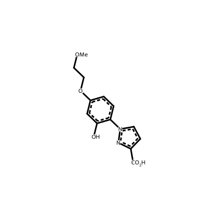 COCCOc1ccc(-n2ccc(C(=O)O)n2)c(O)c1